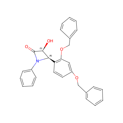 O=C1[C@@H](O)[C@@H](c2ccc(OCc3ccccc3)cc2OCc2ccccc2)N1c1ccccc1